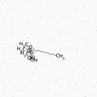 CCCCCCCCCCC[Si](OCC)(OCC)OC(C)S(=O)(=O)O